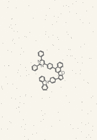 C1=CCC(c2nc(C3=CC=C(c4cc5c6c(oc5c5ccccc45)CC=C6C4=CCC(n5c6ccccc6c6ccccc65)C=C4)CC3)cc(-c3ccccc3)n2)C=C1